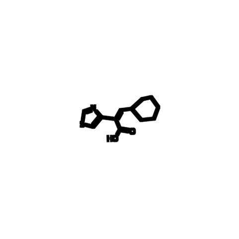 O=C(O)/C(=C\C1CCCCC1)c1cscn1